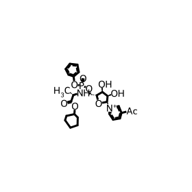 CC(=O)c1ccc[n+]([C@@H]2O[C@H](COP(=O)(N[C@@H](C)C(=O)OC3CCCCC3)Oc3ccccc3)[C@@H](O)[C@H]2O)c1